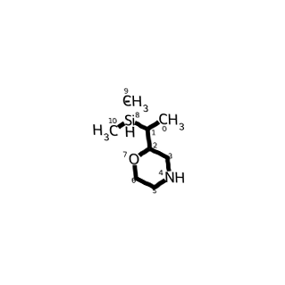 CC(C1CNCCO1)[SiH](C)C